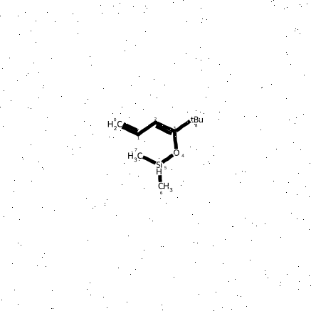 C=CC=C(O[SiH](C)C)C(C)(C)C